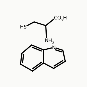 NC(CS)C(=O)O.c1ccc2ncccc2c1